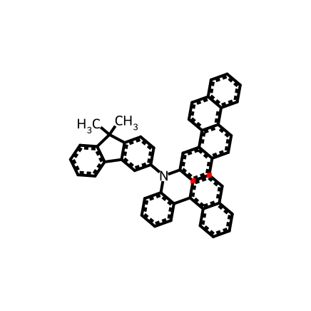 CC1(C)c2ccccc2-c2cc(N(c3ccc4ccc5c6ccccc6ccc5c4c3)c3ccccc3-c3cccc4ccccc34)ccc21